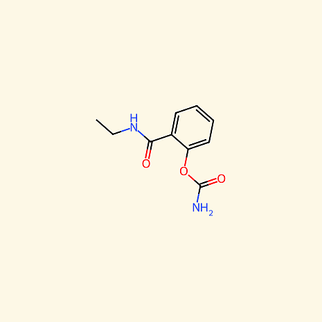 CCNC(=O)c1ccccc1OC(N)=O